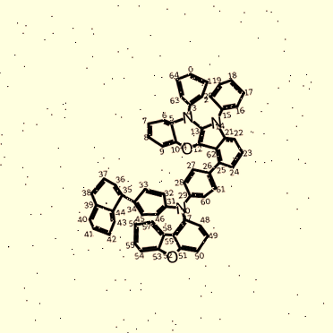 c1ccc(N2c3ccccc3Oc3c2n(-c2ccccc2)c2cccc(-c4ccc(N(c5ccc(-c6cccc7ccccc67)cc5)c5cccc6oc7ccccc7c56)cc4)c32)cc1